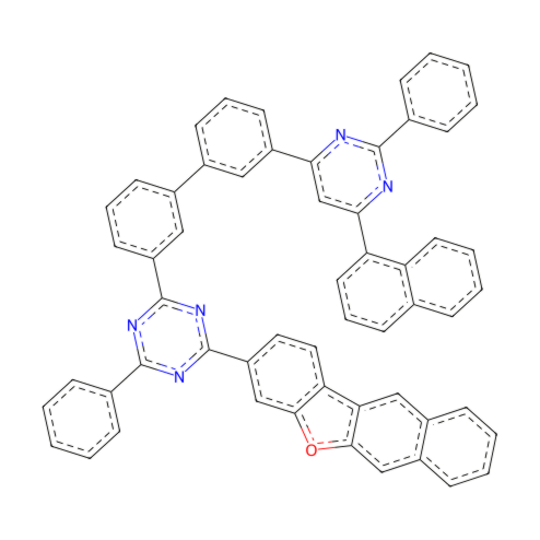 c1ccc(-c2nc(-c3cccc(-c4cccc(-c5nc(-c6ccccc6)nc(-c6ccc7c(c6)oc6cc8ccccc8cc67)n5)c4)c3)cc(-c3cccc4ccccc34)n2)cc1